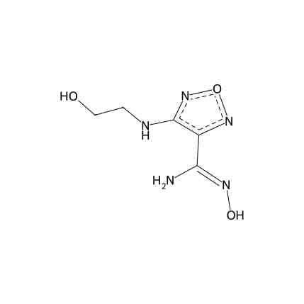 N/C(=N\O)c1nonc1NCCO